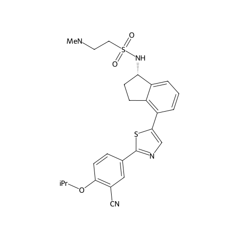 CNCCS(=O)(=O)N[C@H]1CCc2c(-c3cnc(-c4ccc(OC(C)C)c(C#N)c4)s3)cccc21